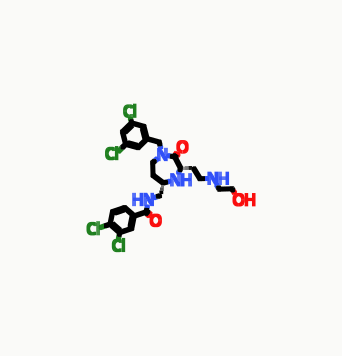 O=C(NC[C@@H]1CCN(Cc2cc(Cl)cc(Cl)c2)C(=O)[C@H](CCNCCO)N1)c1ccc(Cl)c(Cl)c1